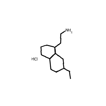 CCC1CCC2CCCC(CCN)C2C1.Cl